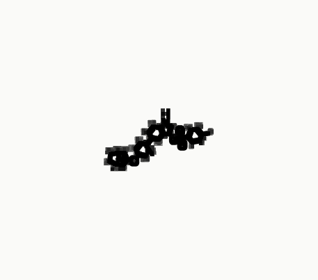 Cc1ccc(S(=O)(=O)Oc2c[nH]c3ccc(-c4ccc(OC5CC6CCC(C5)N6C)cn4)cc23)cc1